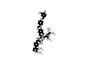 Cc1nccc(-c2ccc(CC(NC(=O)[C@@H]3Cc4cc5c(cc4CN3C(=O)c3nc(C(C)C)oc3C)O[C@@H](c3ccc(OCc4ccc(Cl)c(Cl)c4)cc3)CO5)C(=O)O)cc2)c1C